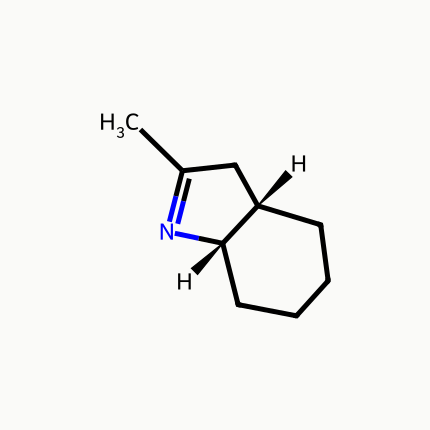 CC1=N[C@H]2CCCC[C@H]2C1